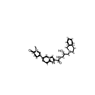 Cn1cc(-c2ccc3nc(C(=O)NCC(O)CN4CCc5ccccc5C4)cn3c2)ccc1=O